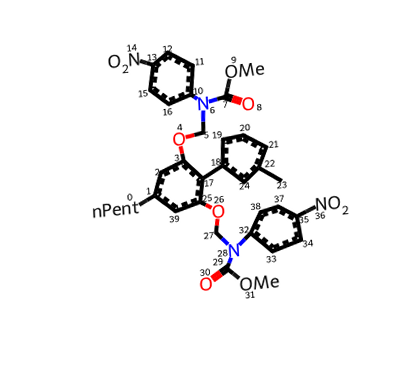 CCCCCc1cc(OCN(C(=O)OC)c2ccc([N+](=O)[O-])cc2)c(-c2cccc(C)c2)c(OCN(C(=O)OC)c2ccc([N+](=O)[O-])cc2)c1